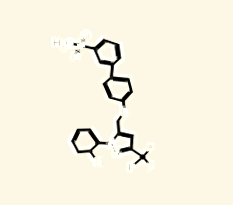 CS(=O)(=O)c1cccc(-c2ccc(OCc3cc(C(F)(F)F)nn3C3=CC=CCC3Cl)cc2)c1